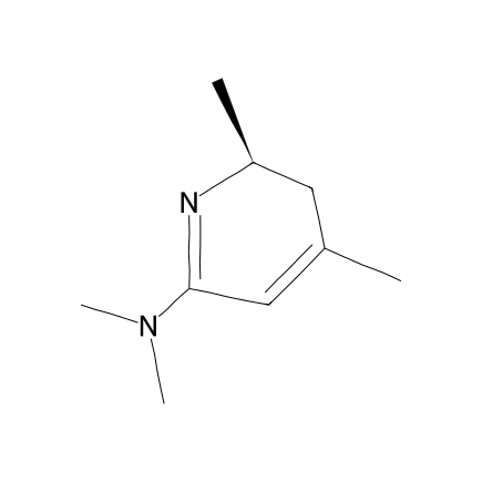 CC1=CC(N(C)C)=N[C@@H](C)C1